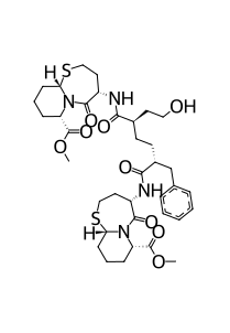 COC(=O)[C@@H]1CCC[C@@H]2SCC[C@H](NC(=O)[C@@H](CCO)CC[C@H](Cc3ccccc3)C(=O)N[C@H]3CCS[C@H]4CCC[C@@H](C(=O)OC)N4C3=O)C(=O)N21